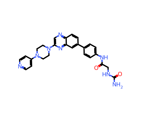 NC(=O)NCC(=O)Nc1ccc(-c2ccc3ncc(N4CCN(c5ccncc5)CC4)nc3c2)cc1